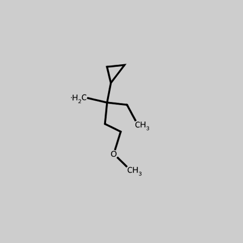 [CH2]C(CC)(CCOC)C1CC1